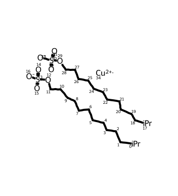 CC(C)CCCCCCCCCCCOS(=O)(=O)[O-].CC(C)CCCCCCCCCCCOS(=O)(=O)[O-].[Cu+2]